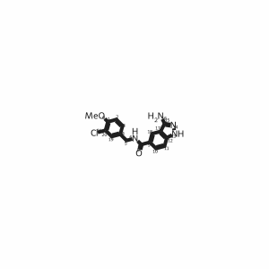 COc1ccc(CNC(=O)c2ccc3[nH]nc(N)c3c2)cc1Cl